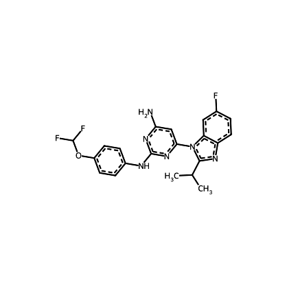 CC(C)c1nc2ccc(F)cc2n1-c1cc(N)nc(Nc2ccc(OC(F)F)cc2)n1